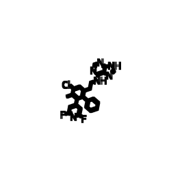 Cc1c(Cl)cc(CCNc2ncnc3[nH]cnc23)c(-c2ccccc2)c1-c1cc(F)nc(F)c1